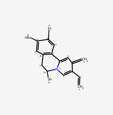 C=CC1=CN2C(=CC1=C)c1cc(CC)c(CCCC)cc1CC2C(C)C